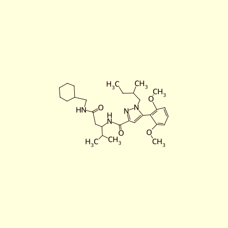 CCC(C)Cn1nc(C(=O)NC(CC(=O)NCC2CCCCC2)C(C)C)cc1-c1c(OC)cccc1OC